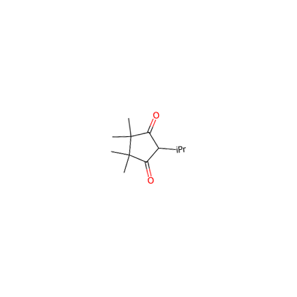 CC(C)C1C(=O)C(C)(C)C(C)(C)C1=O